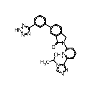 CC(C)n1cnnc1-c1cccc(N2Cc3ccc(-c4cccc(-c5nn[nH]n5)c4)cc3C2=O)n1